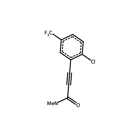 CNC(=O)C#Cc1cc(C(F)(F)F)ccc1Cl